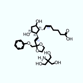 NC(CO)(CO)CO.O=C(O)CCC/C=C\C[C@H]1C(O)C[C@@H](O)[C@@H]1/C=C/C1(COc2ccccc2)OCCO1